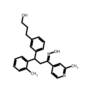 Cc1cc(C(CC(c2cccc(CCCO)c2)c2ccccc2C)=NO)ccn1